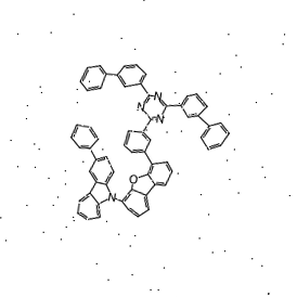 c1ccc(-c2cccc(-c3nc(-c4cccc(-c5ccccc5)c4)nc(-c4cccc(-c5cccc6c5oc5c(-n7c8ccccc8c8cc(-c9ccccc9)ccc87)cccc56)c4)n3)c2)cc1